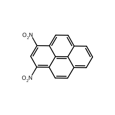 O=[N+]([O-])c1cc([N+](=O)[O-])c2ccc3cccc4ccc1c2c43